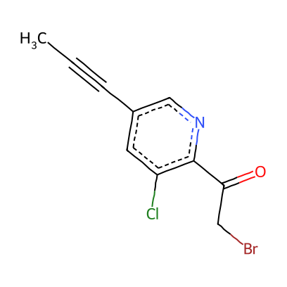 CC#Cc1cnc(C(=O)CBr)c(Cl)c1